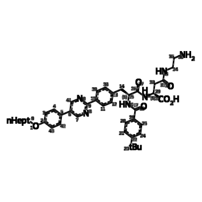 CCCCCCCOc1ccc(-c2cnc(-c3ccc(C[C@H](NC(=O)c4ccc(C(C)(C)C)cc4)C(=O)N[C@@H](CC(=O)NCCN)C(=O)O)cc3)nc2)cc1